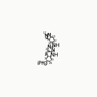 CC(C)Oc1ccc(Nc2nc(Nc3ccc4nn(C)cc4c3)ncc2F)cc1